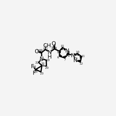 C[C@H](NC(=O)c1ccc(-n2cccn2)nc1)C(=O)N1CC[C@@]2(C1)CC2(F)F